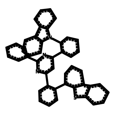 c1ccc(-c2nc(-c3ccccc3-c3cccc4c3sc3ccccc34)cc(-c3ccccc3-n3c4ccccc4c4ccccc43)n2)cc1